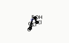 O=C(CCC/C=C\C[C@H]1C(F)CC(O)[C@@H]1CSc1cc(Cl)cc(Cl)c1)OCCN1CCOCC1